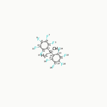 C[Si](C)(c1c(F)c(F)c(F)c(F)c1F)c1c(F)c(F)c(F)c(F)c1F